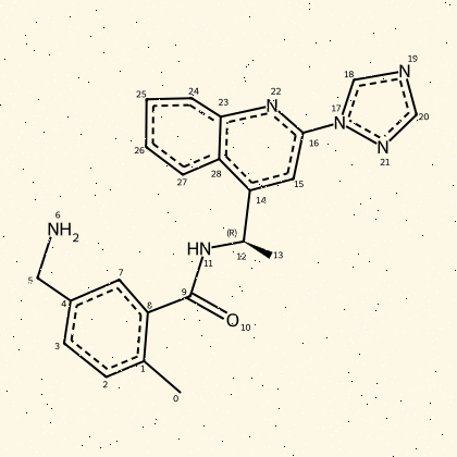 Cc1ccc(CN)cc1C(=O)N[C@H](C)c1cc(-n2cncn2)nc2ccccc12